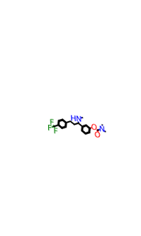 CNC(CCc1ccc(C(F)(F)F)cc1)c1cccc(OC(=O)N(C)C)c1